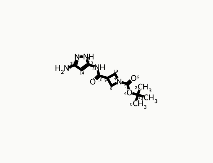 CC(C)(C)OC(=O)N1CC(C(=O)Nc2cc(N)n[nH]2)C1